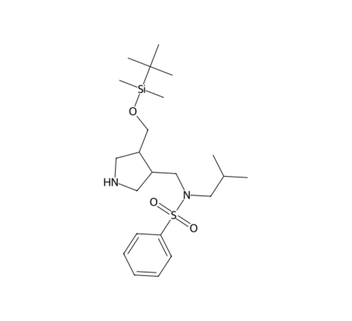 CC(C)CN(CC1CNCC1CO[Si](C)(C)C(C)(C)C)S(=O)(=O)c1ccccc1